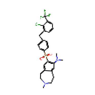 CN1CCc2cc(N(C)C)c(S(=O)(=O)c3ccc(Cc4cccc(C(F)(F)F)c4Cl)cc3)cc2CC1